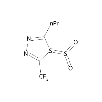 CCCC1=NN=C(C(F)(F)F)S1=S(=O)=O